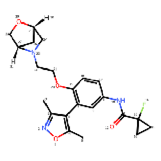 Cc1noc(C)c1-c1cc(NC(=O)C2(F)CC2)ccc1OCCN1C[C@@H]2C[C@H]1CO2